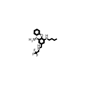 CCCCNc1cc(CNCC(F)(F)F)cc(SN)c1Oc1ccccc1